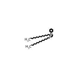 CCCCCCCCCCCCCCC[n+]1ccn(-c2ccccc2)c1CCCCCCCCCCCCCC